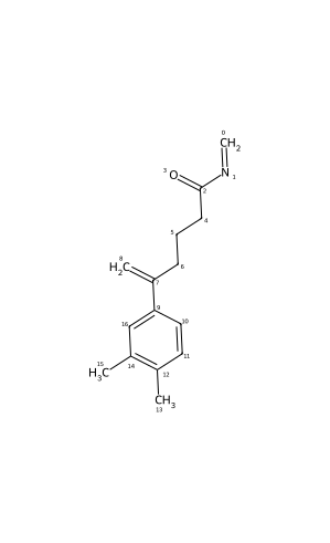 C=NC(=O)CCCC(=C)c1ccc(C)c(C)c1